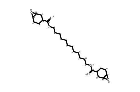 O=C(OCCCCCCCCCCCCOC(=O)C1CCC2OC2C1)C1CCC2OC2C1